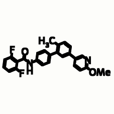 COc1ccc(-c2ccc(C)c(-c3ccc(NC(=O)c4c(F)cccc4F)cc3)c2)cn1